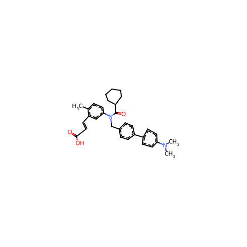 Cc1ccc(N(Cc2ccc(-c3ccc(N(C)C)cc3)cc2)C(=O)C2CCCCC2)cc1C=CC(=O)O